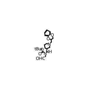 CC(C)(C)OC(=O)N(CC=O)NC1CCCN(CC2COc3ccccc3O2)C1